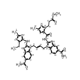 CCc1nc(C)oc1Nc1nc2cc(C(N)=O)ccc2n1C/C=C/Cn1c(NC(=O)c2cc(C)nn2CCC(=O)OC)nc2cc(C(N)=O)ccc21